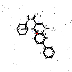 C=C(NC1CN2CCC1CC2)C(/C=C\C=O)=C/N(C)c1cccc(-c2ccccc2)c1